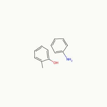 Cc1ccccc1O.Nc1ccccc1